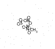 CC1CC(c2cccc(-n3c4ccccc4c4cc(-c5cccc6c5sc5ccccc56)ccc43)c2)N=C(c2ccccc2)N=C1c1ccccc1